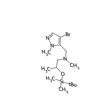 CC(CN(C)Cc1c(Br)cnn1C)O[Si](C)(C)C(C)(C)C